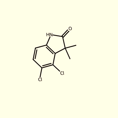 CC1(C)C(=O)Nc2ccc(Cl)c(Cl)c21